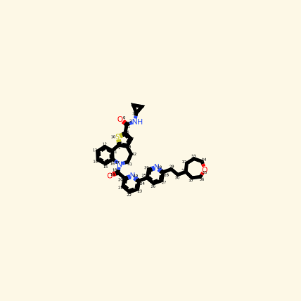 O=C(NC1CC1)c1cc2c(s1)-c1ccccc1N(C(=O)c1cccc(-c3ccc(CCC4CCCOCC4)nc3)n1)CC2